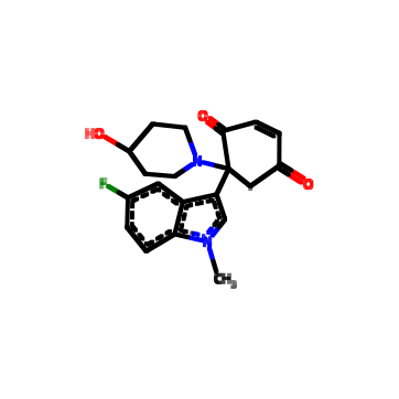 Cn1cc(C2(N3CCC(O)CC3)[CH]C(=O)C=CC2=O)c2cc(F)ccc21